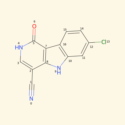 N#Cc1c[nH]c(=O)c2c1[nH]c1cc(Cl)ccc12